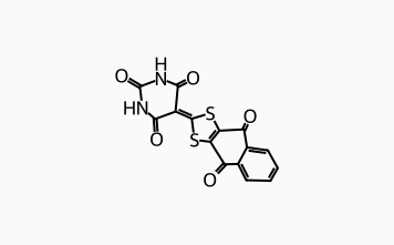 O=C1NC(=O)C(=C2SC3=C(S2)C(=O)c2ccccc2C3=O)C(=O)N1